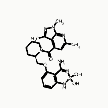 Cc1cc(C(=O)N2CCCC[C@@H]2COc2cccc3c2C(N)=NS(O)(O)N3)c2c(C)nn(C)c2n1